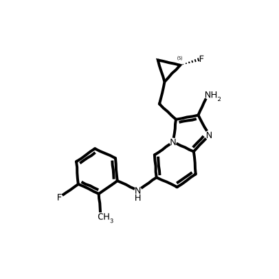 Cc1c(F)cccc1Nc1ccc2nc(N)c(CC3C[C@@H]3F)n2c1